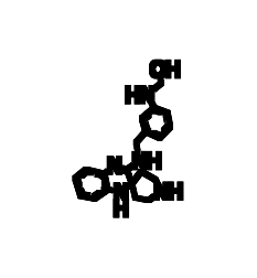 OCNc1cccc(CNC2=Nc3ccccc3NC23CCNCC3)c1